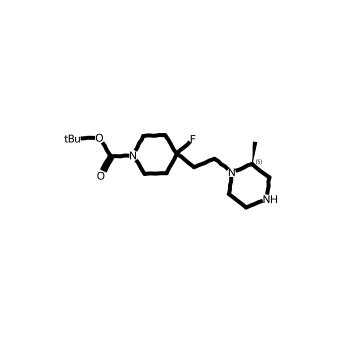 C[C@H]1CNCCN1CCC1(F)CCN(C(=O)OC(C)(C)C)CC1